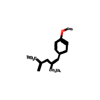 C=C(CC(=Cc1ccc(OC=O)cc1)C(=O)OCC)C(=O)OCC